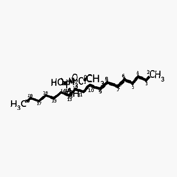 CC.CCCCCCCCCCCCCCCCCC.O=[PH](O)O